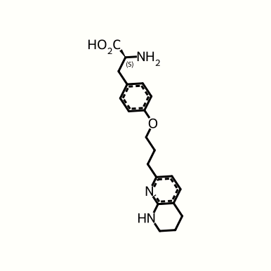 N[C@@H](Cc1ccc(OCCCc2ccc3c(n2)NCCC3)cc1)C(=O)O